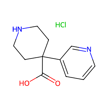 Cl.O=C(O)C1(c2cccnc2)CCNCC1